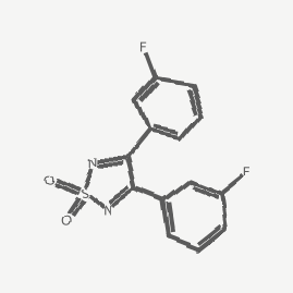 O=S1(=O)N=C(c2cccc(F)c2)C(c2cccc(F)c2)=N1